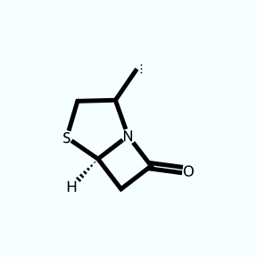 [C]C1CS[C@@H]2CC(=O)N12